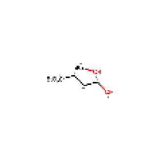 CCCCO.CCOC(=O)CCCO